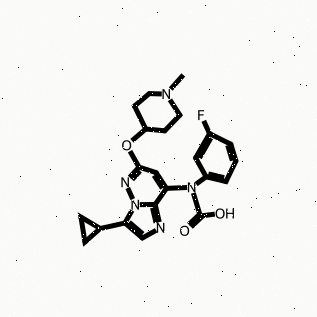 CN1CCC(Oc2cc(N(C(=O)O)c3cccc(F)c3)c3ncc(C4CC4)n3n2)CC1